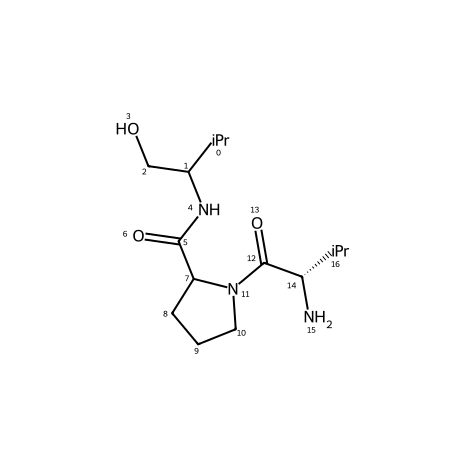 CC(C)C(CO)NC(=O)C1CCCN1C(=O)[C@@H](N)C(C)C